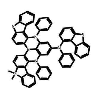 C[Si]1(C)c2ccccc2-c2c1ccc1c2N(c2ccccc2)c2cc(N(c3ccccc3)c3cccc4sc5ccccc5c34)cc3c2B1c1ccc2sc4ccccc4c2c1N3c1ccccc1